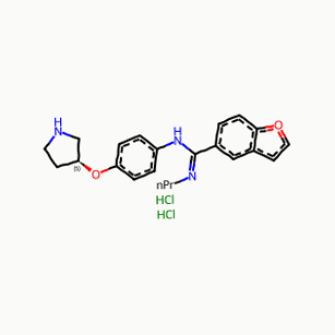 CCCN=C(Nc1ccc(O[C@H]2CCNC2)cc1)c1ccc2occc2c1.Cl.Cl